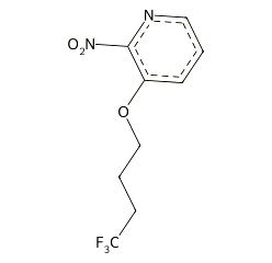 O=[N+]([O-])c1ncccc1OCCCC(F)(F)F